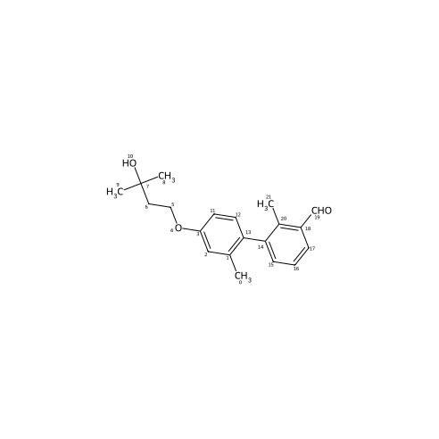 Cc1cc(OCCC(C)(C)O)ccc1-c1cccc(C=O)c1C